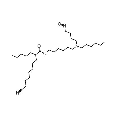 CCCCCCN(CCCCCCOC(=O)C(CCCCC)CCCCCCCC#N)CCCCN=O